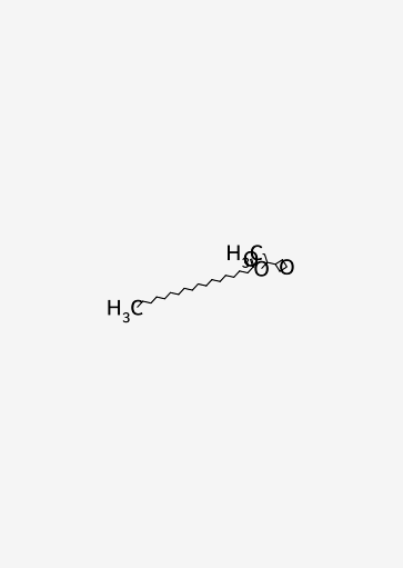 CCCCCCCCCCCCCCCCCC(=O)OC(CC)C1COC1